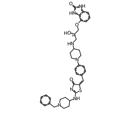 O=C1N=C(NC2CCN(Cc3ccccc3)CC2)SC1=Cc1ccc(N2CCC(NC[C@@H](O)COc3cccc4[nH]c(=O)[nH]c34)CC2)cc1